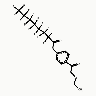 CCOCC(=O)c1ccc(OC(=O)C(F)(F)C(F)(F)C(F)(F)C(F)(F)C(F)(F)C(F)(F)C(F)(F)F)cc1